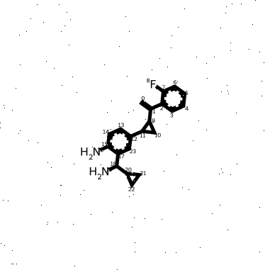 C=C(c1ccccc1F)C1CC1c1ccc(N)c(C(N)C2CC2)c1